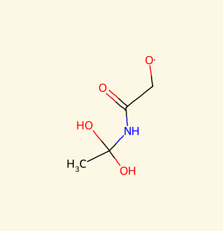 CC(O)(O)NC(=O)C[O]